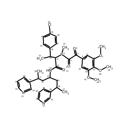 COc1cc(C(=O)C(=O)N(C)C(C(=O)NC(CC(C)c2cccnc2)CC(C)c2cccnc2)C(C)c2ccc(Cl)cc2)cc(OC)c1OC